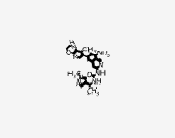 Cc1c(-c2cc3cc(NC(=O)NC(C)c4cnn(C)c4)ncc3c(N)c2F)cnc2c1NCCO2